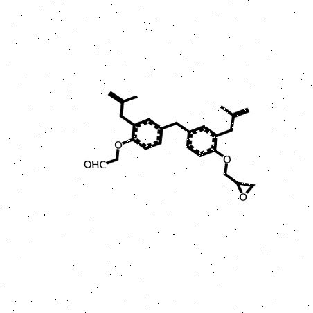 C=C(C)Cc1cc(Cc2ccc(OCC3CO3)c(CC(=C)C)c2)ccc1OCC=O